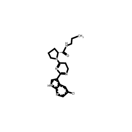 CCCNC(=O)[C@H]1CCCN1C1=NC(c2c[nH]c3ncc(Cl)cc23)=NCC1